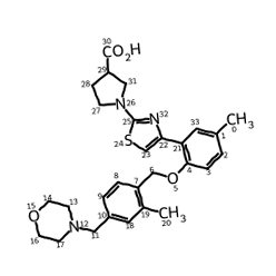 Cc1ccc(OCc2ccc(CN3CCOCC3)cc2C)c(-c2csc(N3CCC(C(=O)O)C3)n2)c1